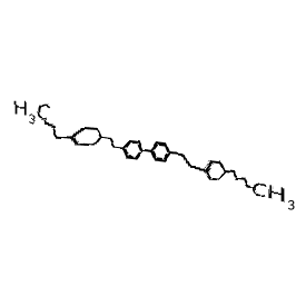 CCCCCC1CCC(CCc2ccc(-c3ccc(CCC4CCC(CCCC)CC4)cc3)cc2)CC1